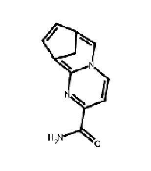 NC(=O)C1=NC2=C3C=CC(=CN2C=C1)C3